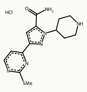 CSc1nccc(-c2cc(C(N)=O)n(C3CCNCC3)n2)n1.Cl